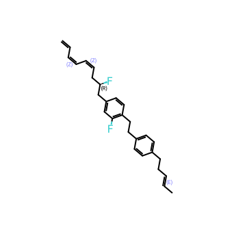 C=C/C=C\C=C/C[C@@H](F)Cc1ccc(CCc2ccc(CC/C=C/C)cc2)c(F)c1